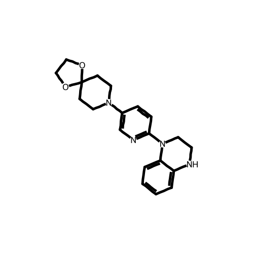 c1ccc2c(c1)NCCN2c1ccc(N2CCC3(CC2)OCCO3)cn1